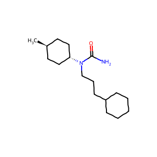 C[C@H]1CC[C@H](N(CCCC2CCCCC2)C(N)=O)CC1